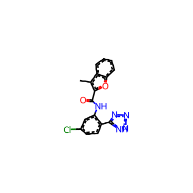 Cc1c(C(=O)Nc2cc(Cl)ccc2-c2nnn[nH]2)oc2ccccc12